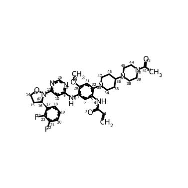 C=CC(=O)Nc1cc(Nc2cc(N3OCC[C@@H]3c3cccc(F)c3F)ncn2)c(OC)cc1N1CCC(N2CCN(C(C)=O)CC2)CC1